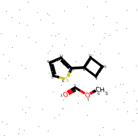 COC=O.c1csc(C2CCC2)c1